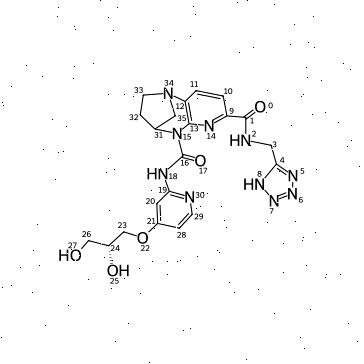 O=C(NCc1nnn[nH]1)c1ccc2c(n1)N(C(=O)Nc1cc(OC[C@H](O)CO)ccn1)C1CCN2C1